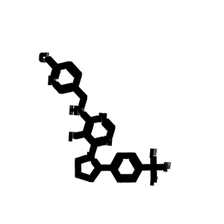 Fc1c(NCc2ccc(Cl)nc2)ncnc1N1CCCC1c1ccc(C(F)(F)F)cc1